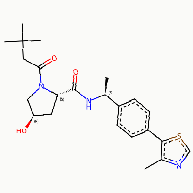 Cc1ncsc1-c1ccc([C@H](C)NC(=O)[C@@H]2C[C@@H](O)CN2C(=O)CC(C)(C)C)cc1